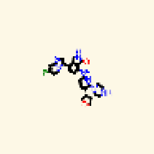 O=C1NCc2c(-c3cnc4cc(F)ccn34)ccc(Nc3ccc([C@@H]4CCOC4)c(N4CCNCC4)n3)c21